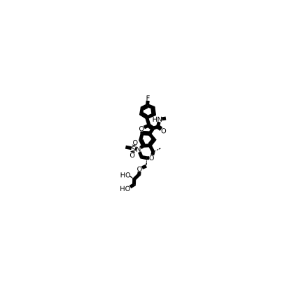 CNC(=O)c1c(-c2ccc(F)cc2)oc2cc3c(cc12)[C@H](C)O[C@H](COC[C@@H](O)CO)CN3S(C)(=O)=O